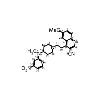 COc1ccc2ncc(C#N)c(CCN3CCC(N(C)c4cc([N+](=O)[O-])ccn4)CC3)c2c1